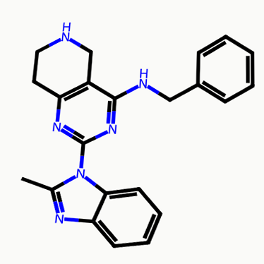 Cc1nc2ccccc2n1-c1nc2c(c(NCc3ccccc3)n1)CNCC2